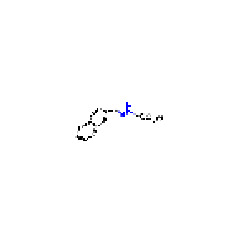 O=C(O)NN=Cc1ccc2ccccc2c1